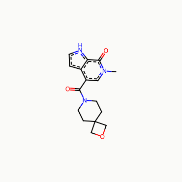 Cn1cc(C(=O)N2CCC3(CC2)COC3)c2cc[nH]c2c1=O